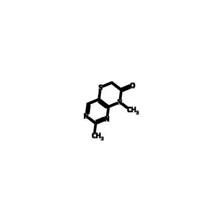 Cc1ncc2c(n1)N(C)C(=O)CS2